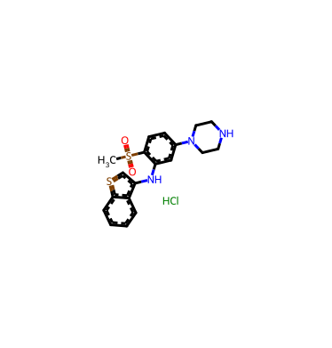 CS(=O)(=O)c1ccc(N2CCNCC2)cc1Nc1csc2ccccc12.Cl